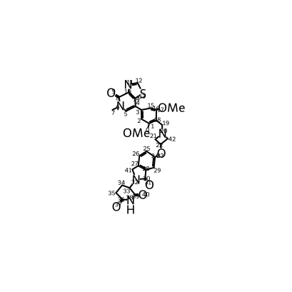 COc1cc(-c2cn(C)c(=O)c3ncsc23)cc(OC)c1CN1CC(Oc2ccc3c(c2)C(=O)N(C2CCC(=O)NC2=O)C3)C1